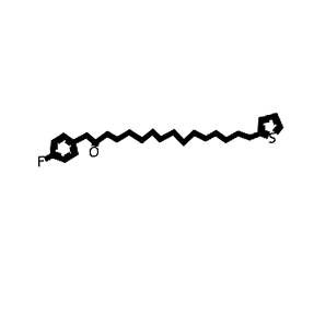 O=C(CCCCCCCCCCCCCCc1cccs1)Cc1ccc(F)cc1